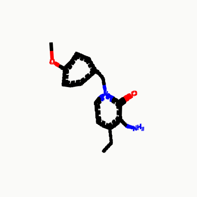 CCc1ccn(Cc2ccc(OC)cc2)c(=O)c1N